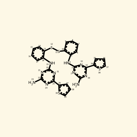 Nc1nc(Nc2ccccc2SSc2ccccc2Nc2nc(N)nc(-c3cccs3)n2)nc(-c2cccs2)n1